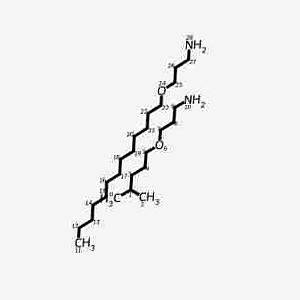 CC(C)CCCOCCCN.CCCCCCCCCCCCCOCCCN